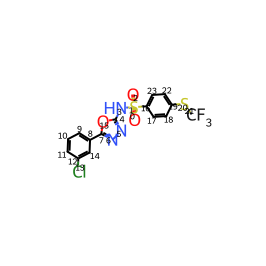 O=S(=O)(Nc1nnc(-c2cccc(Cl)c2)o1)c1ccc(SC(F)(F)F)cc1